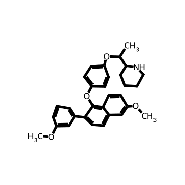 COc1cccc(-c2ccc3cc(OC)ccc3c2Oc2ccc(OC(C)C3CCCCN3)cc2)c1